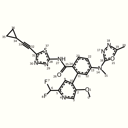 COc1cnc(C(F)F)cc1-c1cc(N(C)c2nnc(C)o2)ccc1C(=O)Nc1nnc(C#CC2CC2)s1